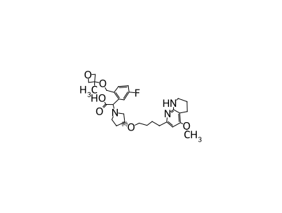 COc1cc(CCCCO[C@@H]2CCN(C(C(=O)O)c3cc(F)ccc3COC3(C)COC3)C2)nc2c1CCCN2